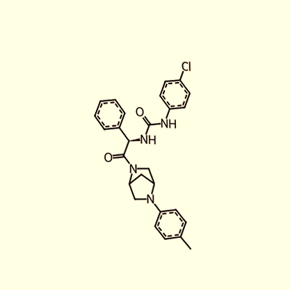 Cc1ccc(N2CC3CC2CN3C(=O)[C@H](NC(=O)Nc2ccc(Cl)cc2)c2ccccc2)cc1